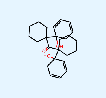 O=C(C1(C2(O)C=CC=CC2)CCCCC1)C1(C2(O)C=CC=CC2)CCCCC1